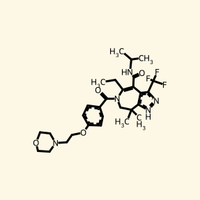 CCC1=C(C(=O)NC(C)C)c2c(C(F)(F)F)n[nH]c2C(C)(C)CN1C(=O)c1ccc(OCCN2CCOCC2)cc1